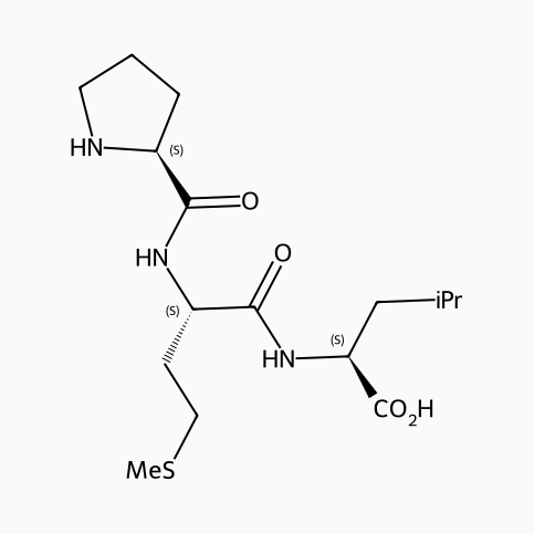 CSCC[C@H](NC(=O)[C@@H]1CCCN1)C(=O)N[C@@H](CC(C)C)C(=O)O